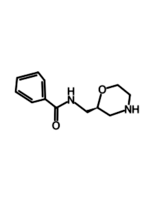 O=C(NC[C@@H]1CNCCO1)c1ccccc1